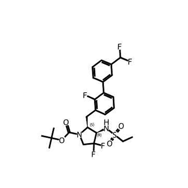 CCS(=O)(=O)N[C@@H]1[C@H](Cc2cccc(-c3cccc(C(F)F)c3)c2F)N(C(=O)OC(C)(C)C)CC1(F)F